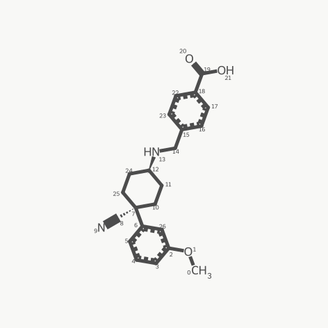 COc1cccc([C@]2(C#N)CC[C@H](NCc3ccc(C(=O)O)cc3)CC2)c1